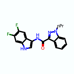 CCCn1nc(C(=O)Nc2c[nH]c3cc(F)c(F)cc23)c2ccccc21